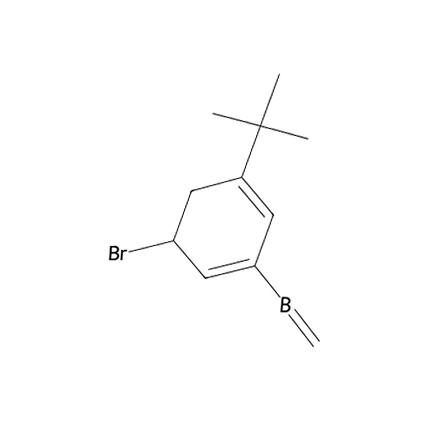 C=BC1=CC(Br)CC(C(C)(C)C)=C1